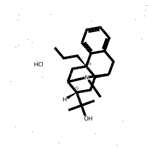 CCC[C@]12CC3[C@@H](C(C)(C)O)CC1C(Cc1ccccc12)N3C.Cl